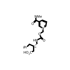 CNC(=O)c1ccc[n+](COC(=O)NC[C@H](CC(=O)O)CC(C)C)c1